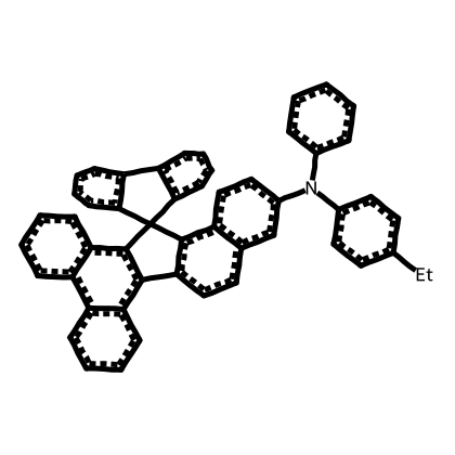 CCc1ccc(N(c2ccccc2)c2ccc3c4c(ccc3c2)-c2c(c3ccccc3c3ccccc23)C42c3ccccc3-c3ccccc32)cc1